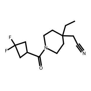 CCC1(CC#N)CCN(C(=O)C2CC(F)(F)C2)CC1